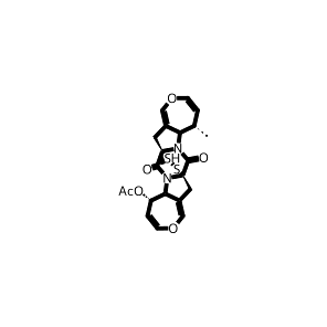 C#[SH]1S[C@@]23CC4=COC=C[C@H](OC(C)=O)C4N2C(=O)[C@@]12CC1=COC=C[C@H](C)C1N2C3=O